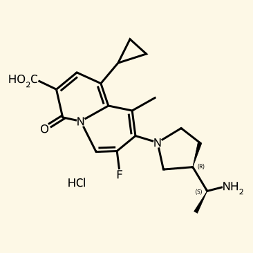 Cc1c(N2CC[C@@H]([C@H](C)N)C2)c(F)cn2c(=O)c(C(=O)O)cc(C3CC3)c12.Cl